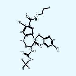 CCCONC(=O)c1cc2c(cc1F)SC[C@H](NC(=O)OC(C)(C)C)C(=O)N2Cc1ccc(Cl)cc1